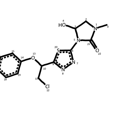 CN1CC(O)N(c2nnc(C(CCl)Oc3ccccc3)s2)C1=O